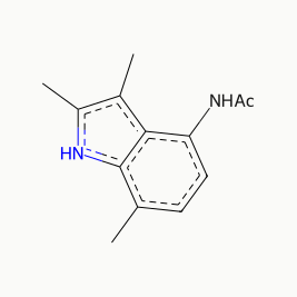 CC(=O)Nc1ccc(C)c2[nH]c(C)c(C)c12